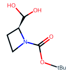 CC(C)(C)OC(=O)N1CC[C@H]1C(O)O